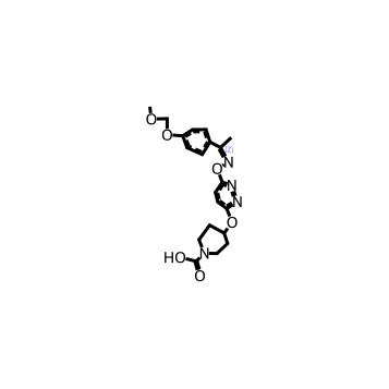 COCOc1ccc(/C(C)=N\Oc2ccc(OC3CCN(C(=O)O)CC3)nn2)cc1